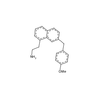 COc1ccc(Cc2ccc3cccc(CCN)c3c2)cc1